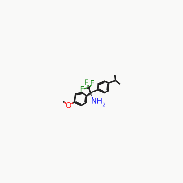 COc1ccc([C@](N)(c2ccc(C(C)C)cc2)C(F)(F)F)cc1